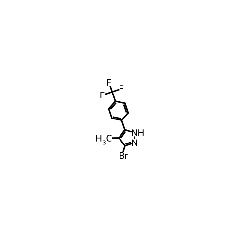 Cc1c(Br)n[nH]c1-c1ccc(C(F)(F)F)cc1